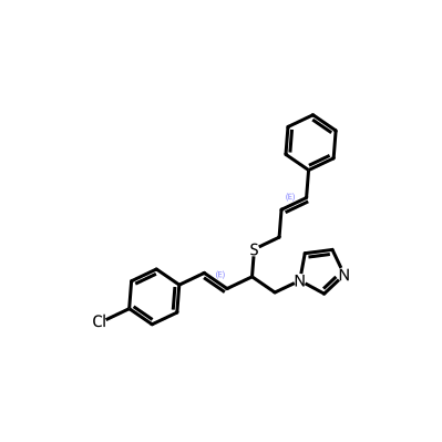 Clc1ccc(/C=C/C(Cn2ccnc2)SC/C=C/c2ccccc2)cc1